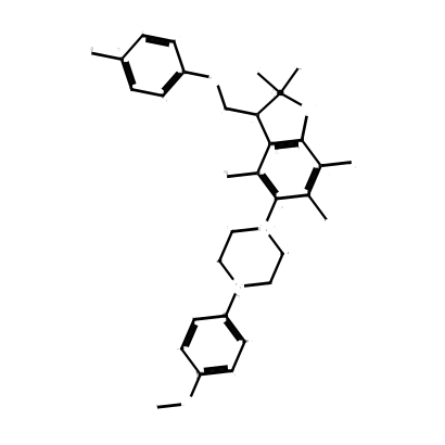 COc1ccc(N2CCN(c3c(C)c(C)c4c(c3C)C(COc3ccc(C)cc3)C(C)(C)O4)CC2)cc1